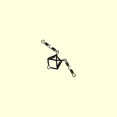 O=C=NC1(N=C=O)c2ccc1o2